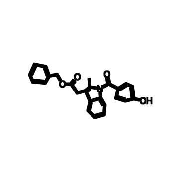 Cc1c(CC(=O)OCc2ccccc2)c2ccccc2n1C(=O)c1ccc(O)cc1